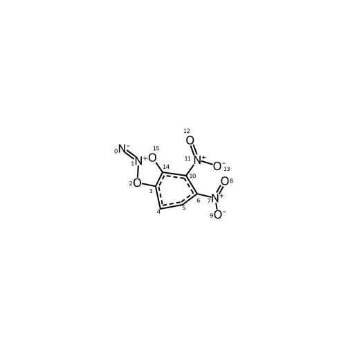 [N-]=[N+]1Oc2ccc([N+](=O)[O-])c([N+](=O)[O-])c2O1